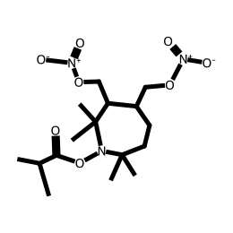 CC(C)C(=O)ON1C(C)(C)CCC(CO[N+](=O)[O-])C(CO[N+](=O)[O-])C1(C)C